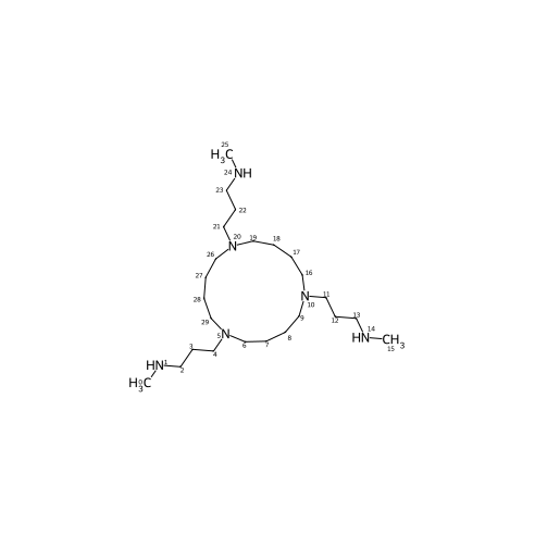 CNCCCN1CCCCN(CCCNC)CCCCN(CCCNC)CCCC1